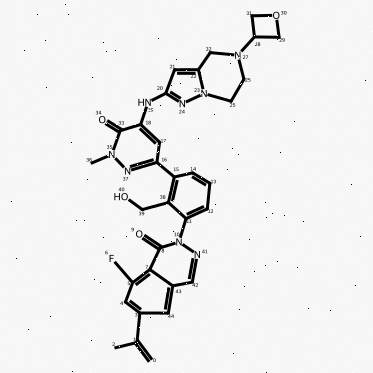 C=C(C)c1cc(F)c2c(=O)n(-c3cccc(-c4cc(Nc5cc6n(n5)CCN(C5COC5)C6)c(=O)n(C)n4)c3CO)ncc2c1